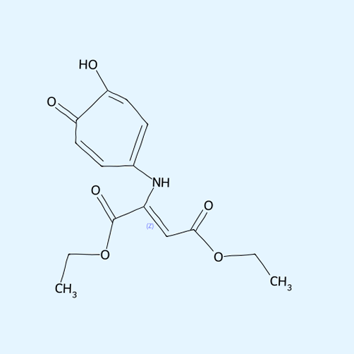 CCOC(=O)/C=C(\Nc1ccc(O)c(=O)cc1)C(=O)OCC